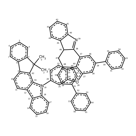 CC1(C)c2ccccc2-c2ccc3c4ccccc4n(-c4ccc5c(c4)oc4cc(-c6ccccc6)cc(C6=Nc7ccccc7C6Cc6ccc(-c7ccccc7)cc6)c45)c3c21